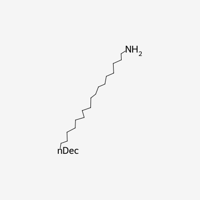 CCCCCCCCCCCCCCCCCCCCCCCCCCCN